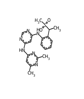 Cc1cc(Nc2cc(Nc3ccccc3C(C)S(C)(=O)=O)ncn2)nc(C)n1